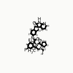 C[C@@]1(c2cc(F)cc(F)c2)CN(CI)C2(CCCC2)C(=O)N1CC(=O)Nc1ccc2c(c1)C[C@@]1(C2)C(=O)Nc2ncccc21